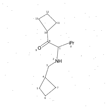 CC(C)C(NCC1CCC1)C(=O)C1CCC1